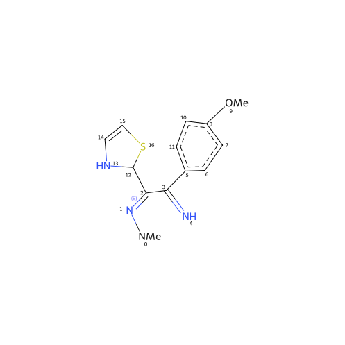 CN/N=C(\C(=N)c1ccc(OC)cc1)C1NC=CS1